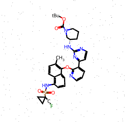 Cc1ccc2c(NS(=O)(=O)C3(CF)CC3)cccc2c1Oc1ncccc1-c1ccnc(N[C@H]2CCCN(C(=O)OC(C)(C)C)C2)n1